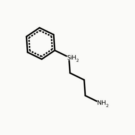 NCCC[SiH2]c1ccccc1